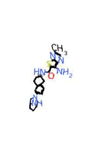 Cc1cnc2c(N)c(C(=O)N[C@@H]3CCc4cc(N5CC6CCC(C5)N6)ccc4C3)sc2n1